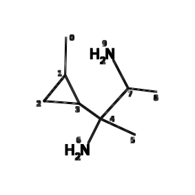 CC1CC1C(C)(N)C(C)N